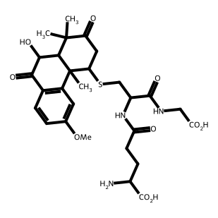 COc1ccc2c(c1)C1(C)C(SCC(NC(=O)CCC(N)C(=O)O)C(=O)NCC(=O)O)CC(=O)C(C)(C)C1C(O)C2=O